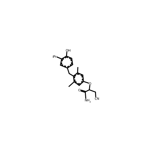 Cc1cc(OC(CC#N)C(N)=O)cc(C)c1Cc1ccc(O)c(C(C)C)c1